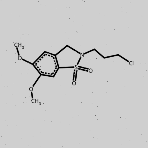 COc1cc2c(cc1OC)S(=O)(=O)N(CCCCl)C2